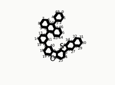 c1ccc(-c2c3ccccc3c(-c3cccc(-c4ccc5oc6ccc7c8cc9ccccc9cc8sc7c6c5c4)c3)c3ccccc23)cc1